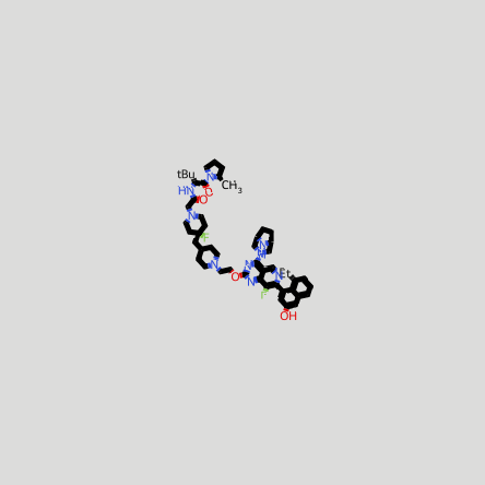 CCc1cccc2cc(O)cc(-c3ncc4c(N5CC6CCC(C5)N6)nc(OCCN5CCC(CC6(F)CCN(CC(=O)NC(C(=O)N7CCCC7C)C(C)(C)C)CC6)CC5)nc4c3F)c12